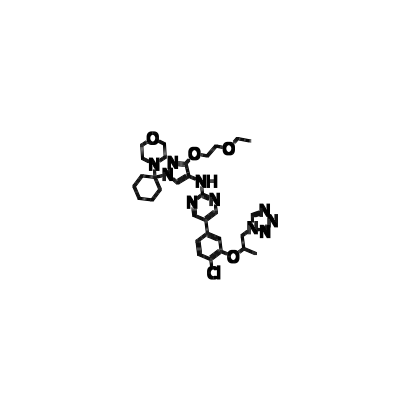 CCOCCOc1nn(C2(N3CCOCC3)CCCCC2)cc1Nc1ncc(-c2ccc(Cl)c(OC(C)Cn3cnnn3)c2)cn1